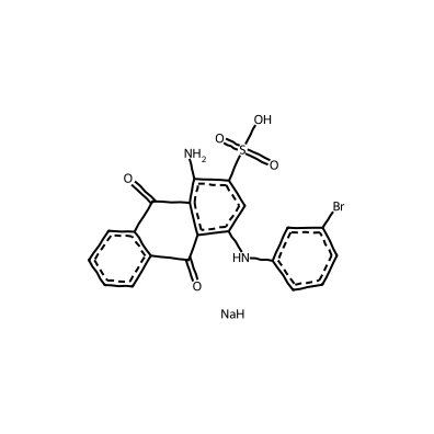 Nc1c(S(=O)(=O)O)cc(Nc2cccc(Br)c2)c2c1C(=O)c1ccccc1C2=O.[NaH]